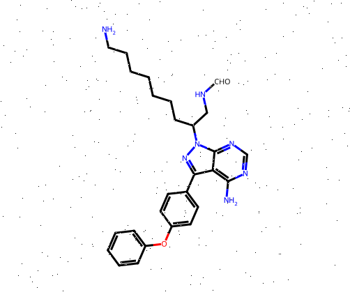 NCCCCCCCC(CNC=O)n1nc(-c2ccc(Oc3ccccc3)cc2)c2c(N)ncnc21